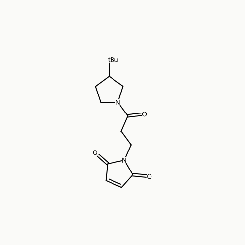 CC(C)(C)C1CCN(C(=O)CCN2C(=O)C=CC2=O)C1